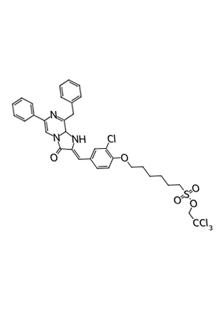 O=C1/C(=C/c2ccc(OCCCCCCS(=O)(=O)OCC(Cl)(Cl)Cl)c(Cl)c2)NC2C(Cc3ccccc3)=NC(c3ccccc3)=CN12